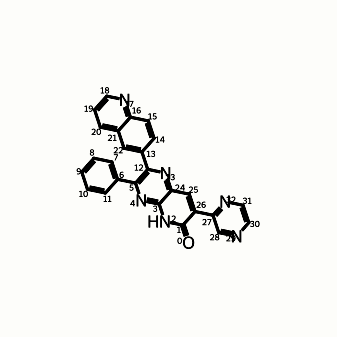 O=c1[nH]c2nc(-c3ccccc3)c(-c3ccc4ncccc4c3)nc2cc1-c1cnccn1